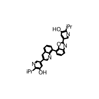 CC(C)c1ncc(-c2cnc3c(-c4cccc5nc(-c6cnc(C(C)C)c(O)c6)oc45)cccc3c2)cc1O